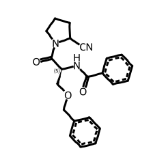 N#CC1CCCN1C(=O)[C@H](COCc1ccccc1)NC(=O)c1ccccc1